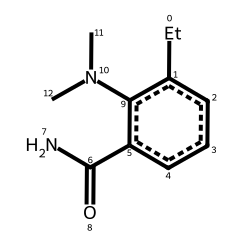 CCc1cccc(C(N)=O)c1N(C)C